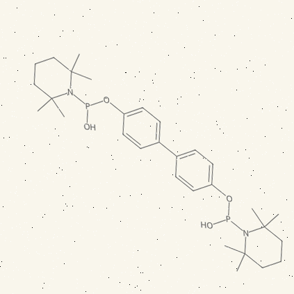 CC1(C)CCCC(C)(C)N1P(O)Oc1ccc(-c2ccc(OP(O)N3C(C)(C)CCCC3(C)C)cc2)cc1